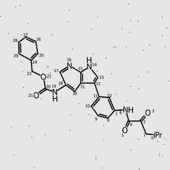 CC(C)CC(=O)C(=O)Nc1cccc(-c2c[nH]c3ncc(NC(=O)OCc4ccccc4)cc23)c1